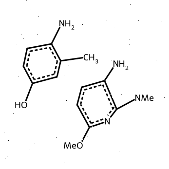 CNc1nc(OC)ccc1N.Cc1cc(O)ccc1N